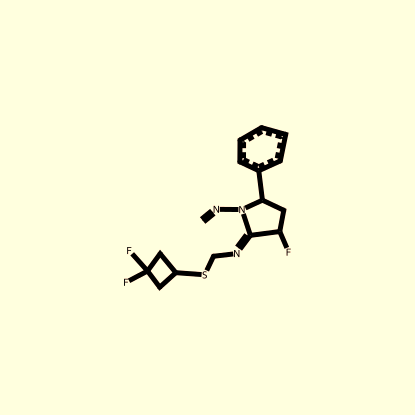 C=NN1/C(=N\CSC2CC(F)(F)C2)C(F)CC1c1ccccc1